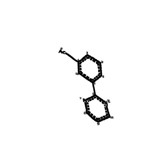 CC(=O)c1cccc(-c2n[c]ccn2)c1